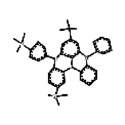 CC(C)(C)c1cc2c3c(c1)N(c1ccc([Si](C)(C)C)cc1)c1ccc([Si](C)(C)C)cc1B3c1ccccc1N2c1ccccc1